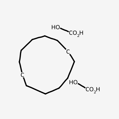 C1CCCCCCCCCCC1.O=C(O)O.O=C(O)O